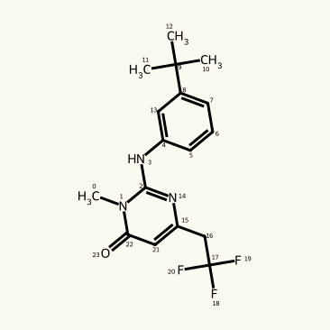 Cn1c(Nc2cccc(C(C)(C)C)c2)nc(CC(F)(F)F)cc1=O